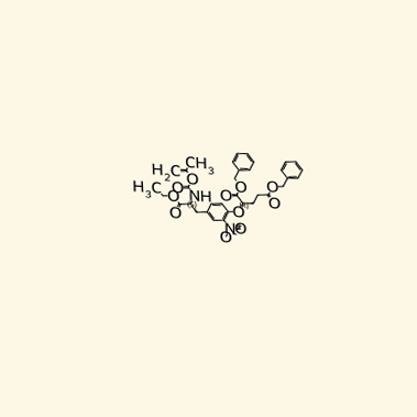 C=C(C)OC(=O)N[C@@H](Cc1ccc(O[C@H](CCC(=O)OCc2ccccc2)C(=O)OCc2ccccc2)c([N+](=O)[O-])c1)C(=O)OCC